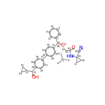 CC(C)C[C@H](O[C@H](c1ccccc1)c1ccc(-c2ccc(C(O)C3CC3)cc2)cc1)C(=O)NC1(C#N)CC1